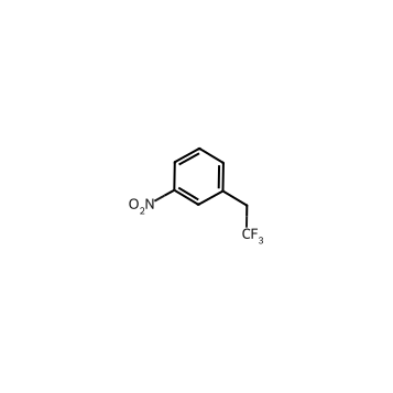 O=[N+]([O-])c1cccc(CC(F)(F)F)c1